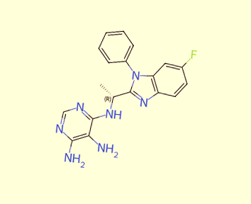 C[C@@H](Nc1ncnc(N)c1N)c1nc2ccc(F)cc2n1-c1ccccc1